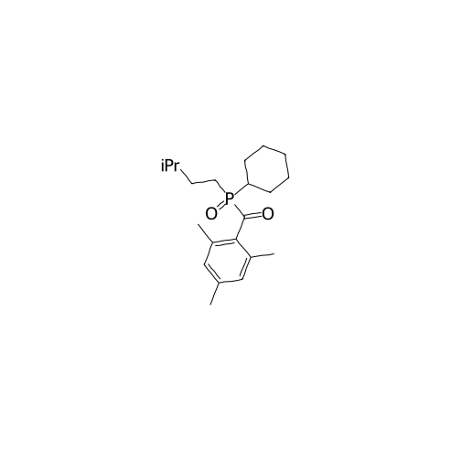 Cc1cc(C)c(C(=O)P(=O)(CCC(C)C)C2CCCCC2)c(C)c1